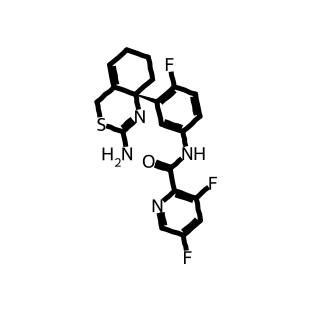 NC1=N[C@@]2(c3cc(NC(=O)c4ncc(F)cc4F)ccc3F)CCCC=C2CS1